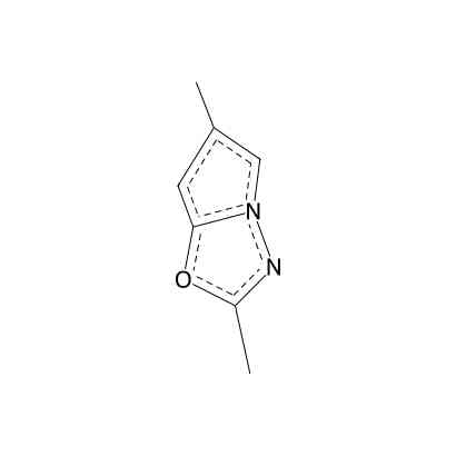 Cc1cc2oc(C)nn2c1